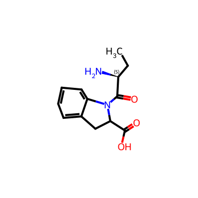 CC[C@H](N)C(=O)N1c2ccccc2CC1C(=O)O